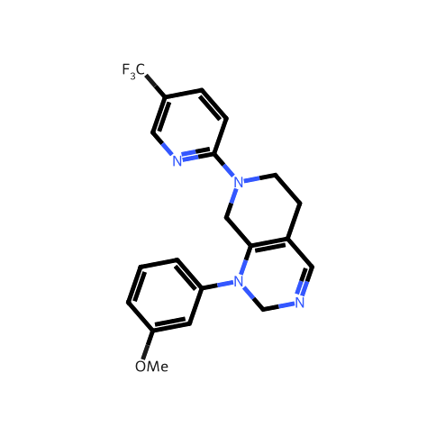 COc1cccc(N2CN=CC3=C2CN(c2ccc(C(F)(F)F)cn2)CC3)c1